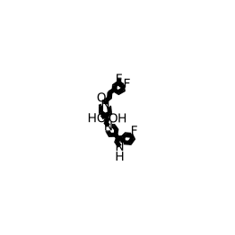 O=C(C=Cc1ccc(F)c(F)c1)N1CCC(O)(C(O)CN2CCC(c3c[nH]c4ccc(F)cc34)CC2)CC1